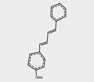 COc1ccc(C=C[C]=Cc2ccccc2)cc1